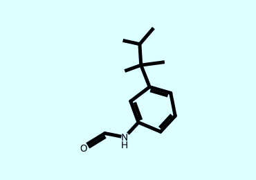 CC(C)C(C)(C)c1cccc(NC=O)c1